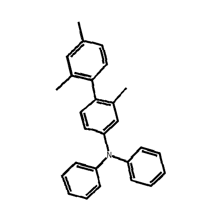 Cc1ccc(-c2ccc(N(c3ccccc3)c3ccccc3)cc2C)c(C)c1